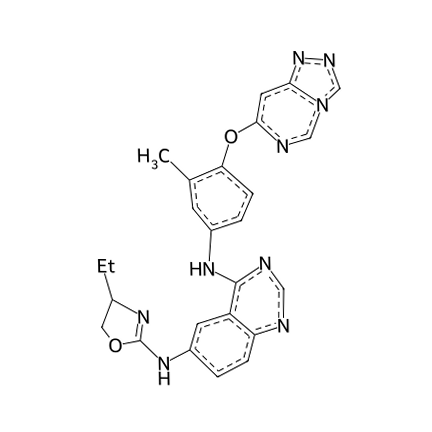 CCC1COC(Nc2ccc3ncnc(Nc4ccc(Oc5cc6nncn6cn5)c(C)c4)c3c2)=N1